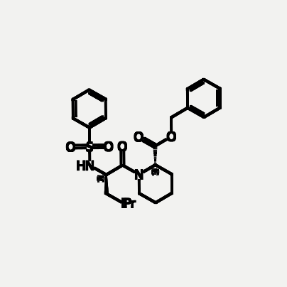 CC(C)C[C@@H](NS(=O)(=O)c1ccccc1)C(=O)N1CCCC[C@H]1C(=O)OCc1ccccc1